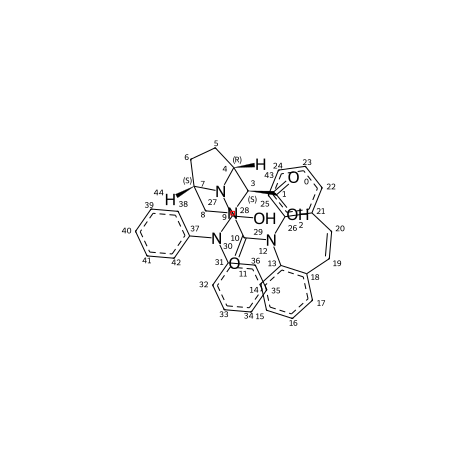 O=C(O)[C@@H]1[C@H]2CC[C@@H](CN1C(=O)N1c3ccccc3C=Cc3ccccc31)N2C(O)N(c1ccccc1)c1ccccc1